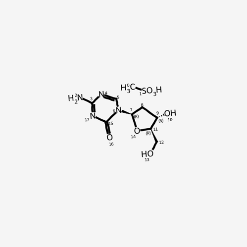 CS(=O)(=O)O.Nc1ncn([C@H]2C[C@H](O)[C@@H](CO)O2)c(=O)n1